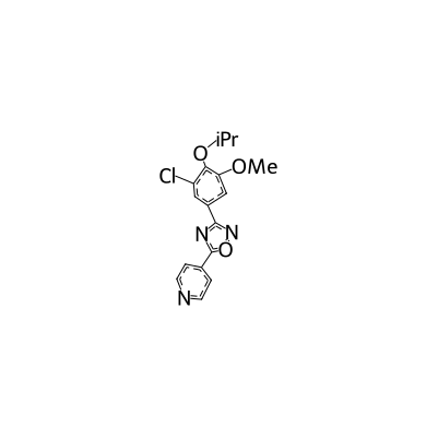 COc1cc(-c2noc(-c3ccncc3)n2)cc(Cl)c1OC(C)C